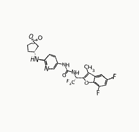 Cc1c([C@@H](NC(=O)Nc2ccc(N[C@@H]3CCS(=O)(=O)C3)nc2)C(F)(F)F)oc2c(F)cc(F)cc12